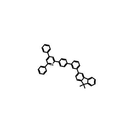 CC1(C)c2ccccc2-c2cc(-c3cccc(-c4ccc(-c5cc(-c6ccccc6)cc(-c6ccccc6)n5)cc4)c3)ccc21